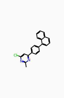 Cc1nc(Cl)cc(-c2ccc(-c3cccc4ccccc34)cc2)n1